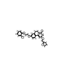 O=c1nc(OCC2CCCO2)cc2n1CCc1cc(OCCOc3ccccc3Cl)ccc1-2